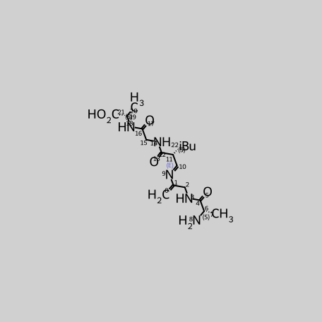 C=C(CNC(=O)[C@H](C)N)/N=C/C(C(=O)NCC(=O)N[C@@H](C)C(=O)O)[C@@H](C)CC